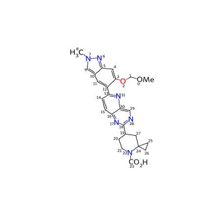 COCOc1cc2nn(C)cc2cc1-c1ccc2nc(C3CCN(C(=O)O)C4(CC4)C3)ncc2n1